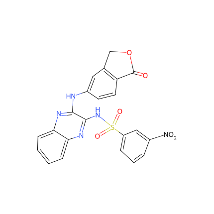 O=C1OCc2cc(Nc3nc4ccccc4nc3NS(=O)(=O)c3cccc([N+](=O)[O-])c3)ccc21